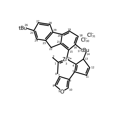 C[C](C)=[Zr+2]([C]1=C(c2ccoc2)C=CC1C)[c]1c(C(C)(C)C)ccc2c1Cc1cc(C(C)(C)C)ccc1-2.[Cl-].[Cl-]